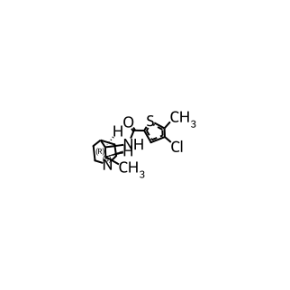 Cc1sc(C(=O)N[C@@H]2C3CCN(CC3)[C@H]2C)cc1Cl